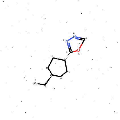 CC(C)C[C@H]1CC[C@H](c2nnco2)CC1